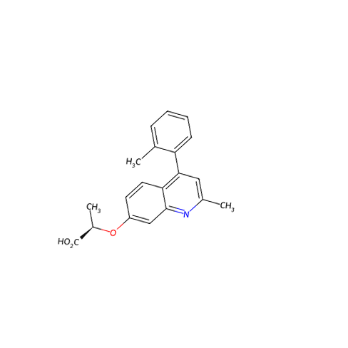 Cc1cc(-c2ccccc2C)c2ccc(O[C@H](C)C(=O)O)cc2n1